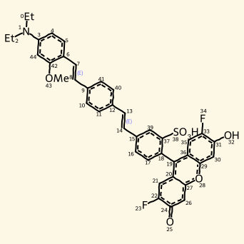 CCN(CC)c1ccc(/C=C/c2ccc(/C=C/c3ccc(-c4c5cc(F)c(=O)cc-5oc5cc(O)c(F)cc45)c(S(=O)(=O)O)c3)cc2)c(OC)c1